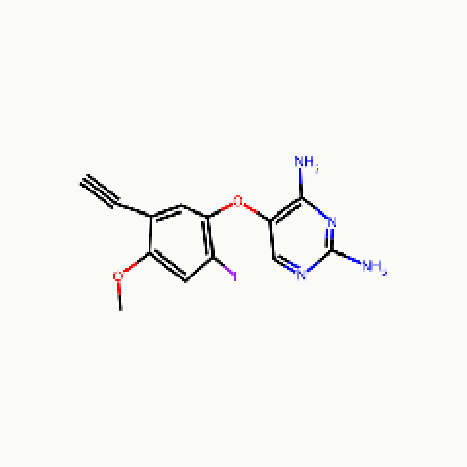 C#Cc1cc(Oc2cnc(N)nc2N)c(I)cc1OC